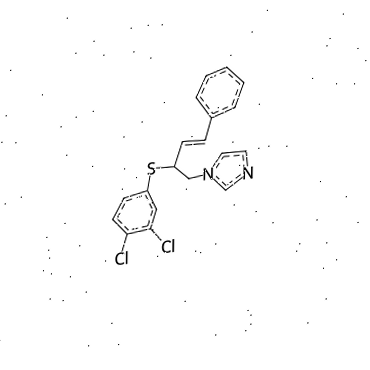 Clc1ccc(SC(C=Cc2ccccc2)Cn2ccnc2)cc1Cl